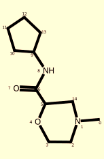 CN1CCOC(C(=O)NC2CCCC2)C1